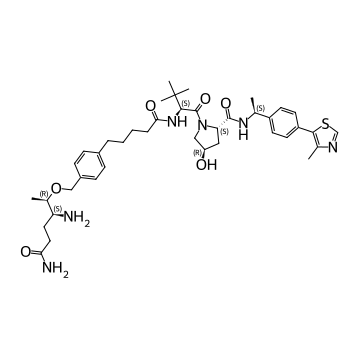 Cc1ncsc1-c1ccc([C@H](C)NC(=O)[C@@H]2C[C@@H](O)CN2C(=O)[C@@H](NC(=O)CCCCc2ccc(CO[C@H](C)[C@@H](N)CCC(N)=O)cc2)C(C)(C)C)cc1